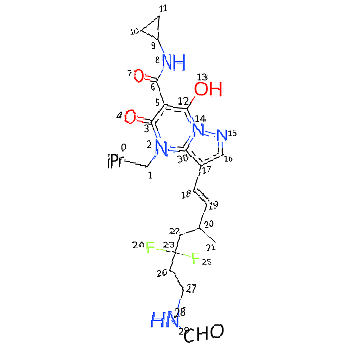 CC(C)Cn1c(=O)c(C(=O)NC2CC2)c(O)n2ncc(/C=C/C(C)CC(F)(F)CCNC=O)c12